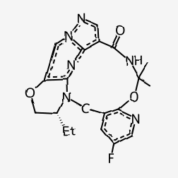 CC[C@@H]1COc2cn3ncc4c3nc2N1Cc1cc(F)cnc1OC(C)(C)NC4=O